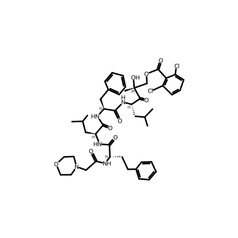 CC(C)C[C@H](NC(=O)[C@H](CCc1ccccc1)NC(=O)CN1CCOCC1)C(=O)N[C@@H](Cc1ccccc1)C(=O)N[C@@H](CC(C)C)C(=O)[C@](C)(O)COC(=O)c1c(Cl)cccc1Cl